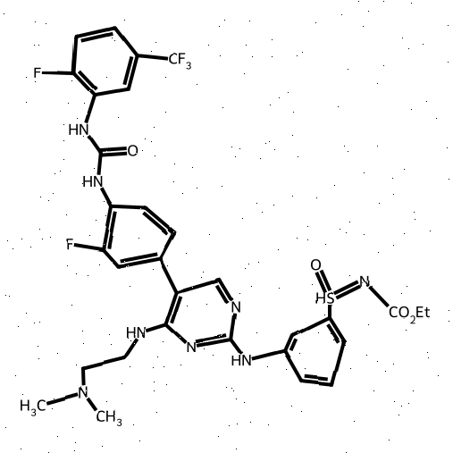 CCOC(=O)/N=[SH](=O)\c1cccc(Nc2ncc(-c3ccc(NC(=O)Nc4cc(C(F)(F)F)ccc4F)c(F)c3)c(NCCN(C)C)n2)c1